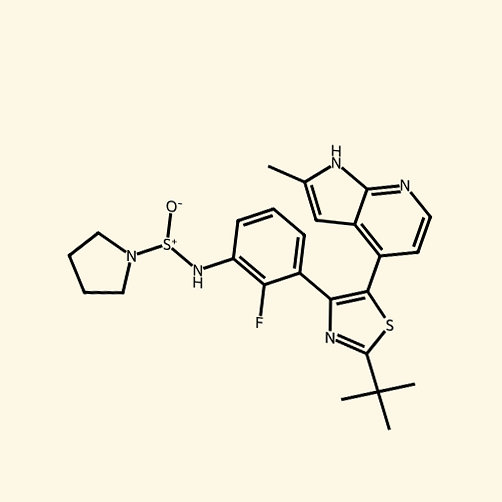 Cc1cc2c(-c3sc(C(C)(C)C)nc3-c3cccc(N[S+]([O-])N4CCCC4)c3F)ccnc2[nH]1